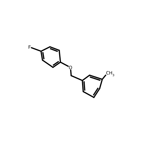 Cc1cccc(COc2ccc(F)cc2)c1